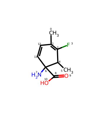 CC1=C(F)C(C)C(N)(C(=O)O)C=C1